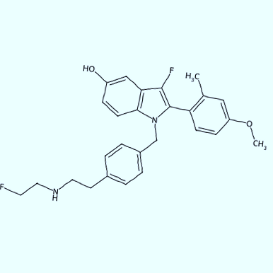 COc1ccc(-c2c(F)c3cc(O)ccc3n2Cc2ccc(CCNCCF)cc2)c(C)c1